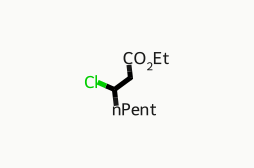 CCCCCC(Cl)CC(=O)OCC